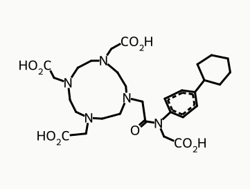 O=C(O)CN1CCN(CC(=O)O)CCN(CC(=O)N(CC(=O)O)c2ccc(C3CCCCC3)cc2)CCN(CC(=O)O)CC1